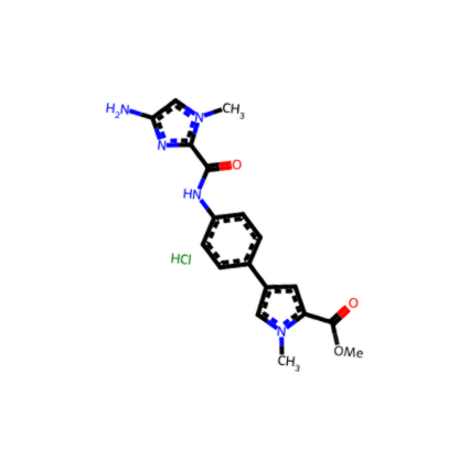 COC(=O)c1cc(-c2ccc(NC(=O)c3nc(N)cn3C)cc2)cn1C.Cl